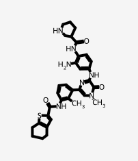 Cc1c(NC(=O)c2cc3c(s2)CCCC3)cccc1-c1cn(C)c(=O)c(Nc2ccc(NC(=O)C3CCCNC3)c(N)c2)n1